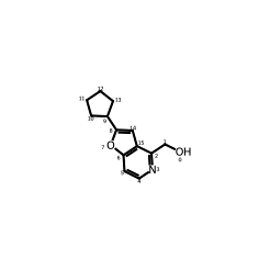 OCc1nccc2oc(C3CCCC3)cc12